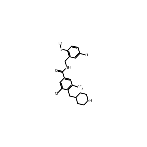 CCSc1ccc(Cl)cc1CNC(=O)c1cc(Cl)c(CC2CCNCC2)c(C(F)(F)F)c1